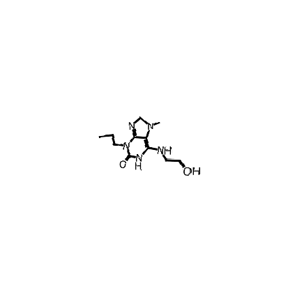 CCCN1C(=O)NC(NCCO)=C2C1=NCN2C